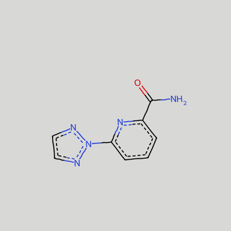 NC(=O)c1cccc(-n2nccn2)n1